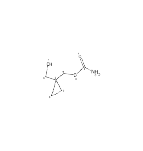 NC(=O)OCC1(CO)CC1